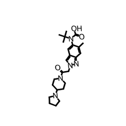 Cc1cc2nn(CC(=O)N3CCC(N4CCCC4)CC3)cc2cc1N(C(=O)O)C(C)(C)C